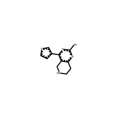 CC(C)c1nc2c(c(-c3ccoc3)n1)CNCC2